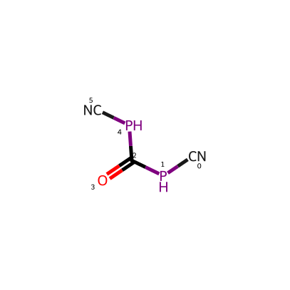 N#CPC(=O)PC#N